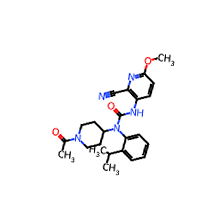 COc1ccc(NC(=O)N(c2ccccc2C(C)C)C2CCN(C(C)=O)CC2)c(C#N)n1